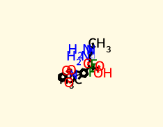 CCN(N)/C=C(\N)COC(c1ccc(C)c(CN2CCOc3ccccc3S2(=O)=O)c1)C(F)(F)C(=O)O